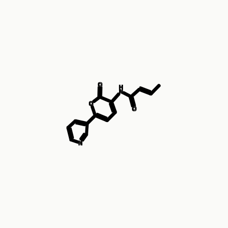 C/C=C/C(=O)Nc1ccc(-c2cccnc2)oc1=O